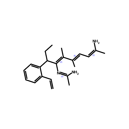 C=Cc1ccccc1C(CC)C(/N=C(/C)N)=C(C)/C(C)=C/C=C(/C)N